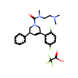 CN(C)CCN(C)C(=O)N1CC(c2cc(F)ccc2F)=CC(c2ccccc2)C1.O=C(O)C(F)(F)F